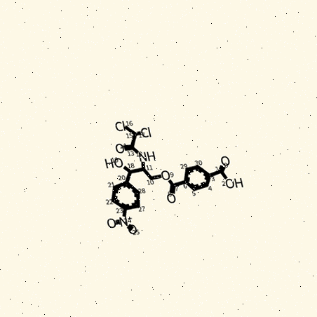 O=C(O)c1ccc(C(=O)OCC(NC(=O)C(Cl)Cl)C(O)c2ccc([N+](=O)[O-])cc2)cc1